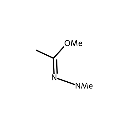 CN/N=C(/C)OC